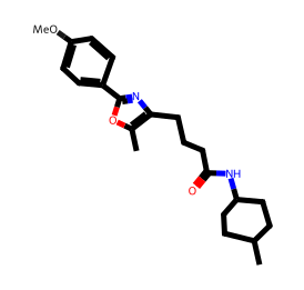 COc1ccc(-c2nc(CCCC(=O)NC3CCC(C)CC3)c(C)o2)cc1